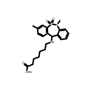 COC(=O)CCCCCCNC1c2ccccc2N(C)S(=O)(=O)c2cc(C)ccc21